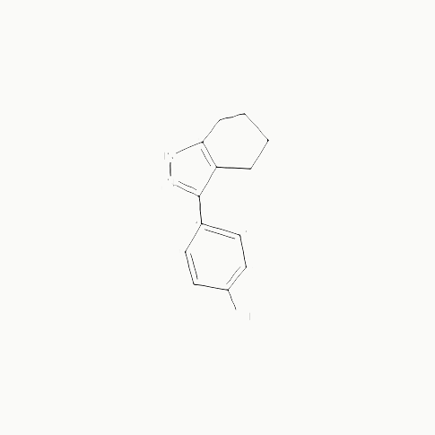 Cc1ccc(-c2n[nH]c3c2CCCC3)cc1